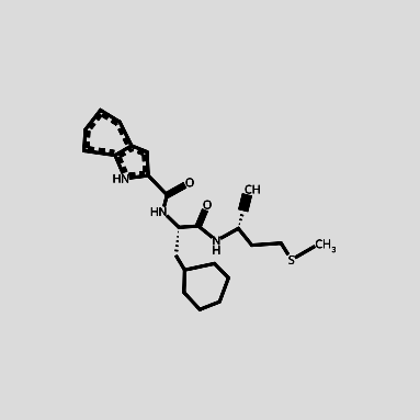 C#C[C@H](CCSC)NC(=O)[C@H](CC1CCCCC1)NC(=O)c1cc2ccccc2[nH]1